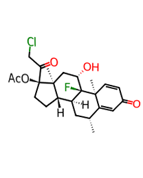 CC(=O)O[C@]1(C(=O)CCl)CC[C@H]2[C@@H]3C[C@@H](C)C4=CC(=O)C=C[C@]4(C)[C@@]3(F)[C@@H](O)C[C@@]21C